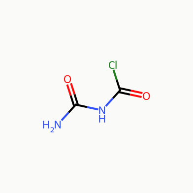 NC(=O)NC(=O)Cl